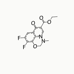 CCOC(=O)c1cn2c3c(c(F)c(F)cc3c1=O)OCN2C